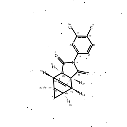 O=C1[C@@H]2[C@@H]3C=C[C@@H]([C@H]4C[C@@H]34)[C@@H]2C(=O)N1c1ccc(Cl)c(Cl)c1